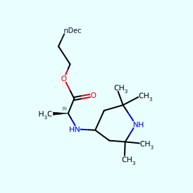 CCCCCCCCCCCCOC(=O)[C@H](C)NC1CC(C)(C)NC(C)(C)C1